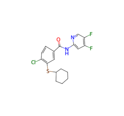 O=C(Nc1cc(F)c(F)cn1)c1ccc(Cl)c(SC2CCCCC2)c1